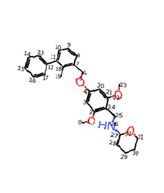 COc1cc(OCc2cccc(-c3ccccc3)c2C)cc(OC)c1CN[C@@H]1CCCCO1